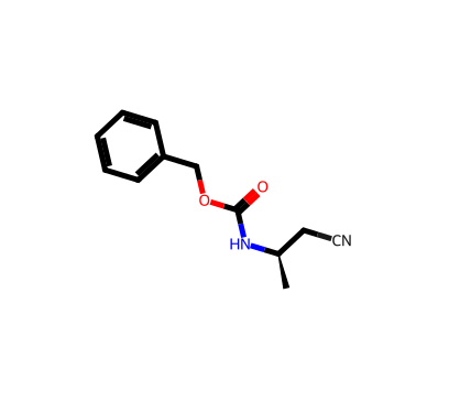 C[C@H](CC#N)NC(=O)OCc1ccccc1